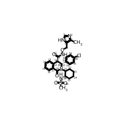 Cc1nc[nH]c1CONC(=O)[C@@H]1c2ccccc2C(=O)N(C2CCCC[C@@H]2NS(C)(=O)=O)[C@H]1c1ccc(Cl)cc1